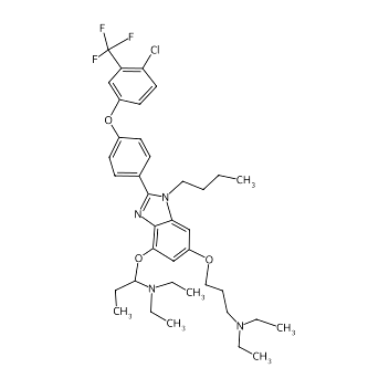 CCCCn1c(-c2ccc(Oc3ccc(Cl)c(C(F)(F)F)c3)cc2)nc2c(OC(CC)N(CC)CC)cc(OCCCN(CC)CC)cc21